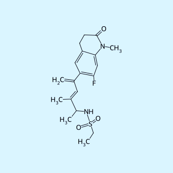 C=C(/C=C(\C)C(C)NS(=O)(=O)CC)c1cc2c(cc1F)N(C)C(=O)CC2